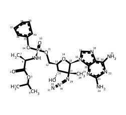 CC(C)OC(=O)[C@@H](C)N[P@@](=O)(OC[C@H]1O[C@@H](n2cnc3c(N)nc(N)nc32)[C@](C)(N=[N+]=[N-])[C@@H]1O)Oc1ccccc1